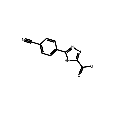 N#Cc1ccc(-c2nnc(C(=O)Cl)[nH]2)cc1